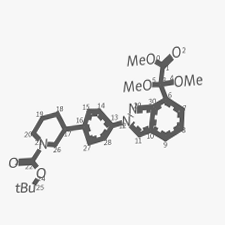 COC(=O)C(OC)(OC)c1cccc2cn(-c3ccc(C4CCCN(C(=O)OC(C)(C)C)C4)cc3)nc12